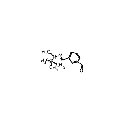 CN(/N=C/c1cccc(C=O)c1)[Si](C)(C)C